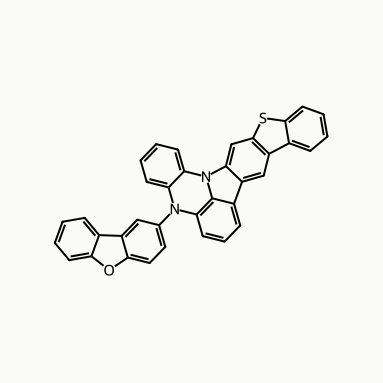 c1ccc2c(c1)N(c1ccc3oc4ccccc4c3c1)c1cccc3c4cc5c(cc4n-2c13)sc1ccccc15